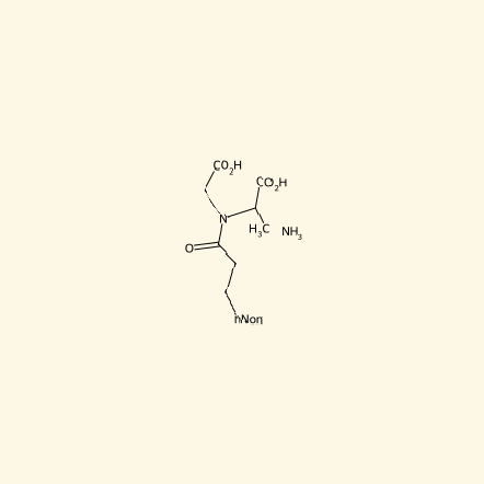 CCCCCCCCCCCC(=O)N(CC(=O)O)C(C)C(=O)O.N